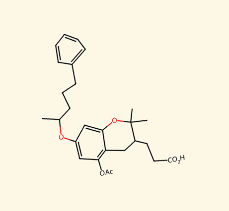 CC(=O)Oc1cc(OC(C)CCCc2ccccc2)cc2c1CC(CCC(=O)O)C(C)(C)O2